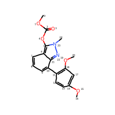 COC(=O)Oc1c2cccc(-c3ccc(OC)cc3OC)c2nn1C